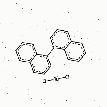 [Cl][Ru][Cl].c1ccc2c(-c3cccc4ccccc34)cccc2c1